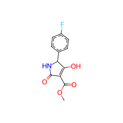 COC(=O)C1=C(O)C(c2ccc(F)cc2)NC1=O